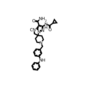 N#CCC1(n2cc(C(N)=O)c(NC(=O)C3CC3)n2)CCN(Cc2cccc(Nc3ccccc3)c2)CC1